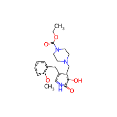 CCOC(=O)N1CCN(Cc2c(Cc3ccccc3OC)c[nH]c(=O)c2O)CC1